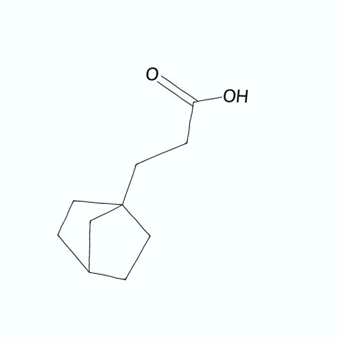 O=C(O)CCC12CCC(CC1)C2